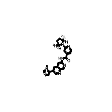 [2H]C1([2H])CCC([2H])([2H])N1c1cc(C(=O)Nc2cc3cc(-c4cncn4C)cnc3cn2)ccn1